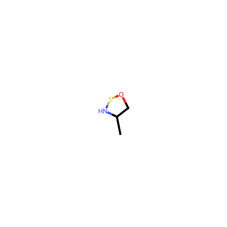 CC1COSN1